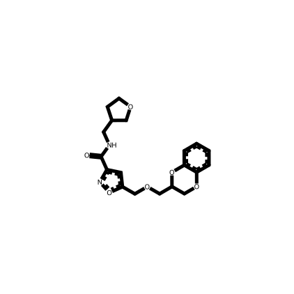 O=C(NCC1CCOC1)c1cc(COCC2COc3ccccc3O2)on1